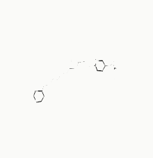 Cc1cc(OCC(C)OCCOCCOCc2ccccc2)ncc1[N+](=O)[O-]